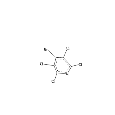 Clc1nc(Cl)c(Cl)c(Br)c1Cl